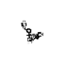 CC(C)(CC(O)(Cc1cc2cnccc2[nH]1)C(F)(F)F)c1cccc(CN2CCOCC2)c1